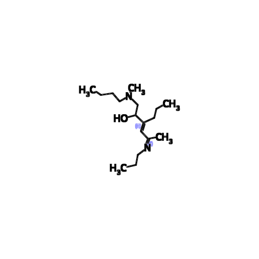 CCCCN(C)CC(O)/C(=C/C(C)=N\CCC)CCC